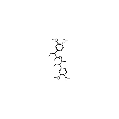 CCC(c1ccc(O)c(OC)c1)C(C)OC(C)C(CC)c1ccc(O)c(OC)c1